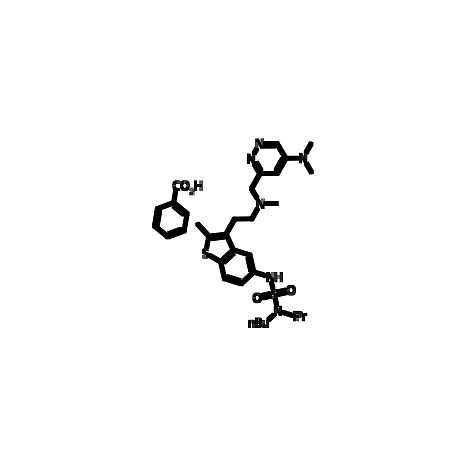 CCCCN(C(C)C)S(=O)(=O)Nc1ccc2sc(C)c(CCN(C)Cc3cc(N(C)C)cnn3)c2c1.O=C(O)c1ccccc1